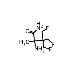 CC(N)(C(N)=O)C(CF)(CF)CF